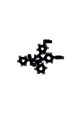 COc1ccc(C(=O)/C(=C\N(S(=O)(=O)c2ccccc2)S(=O)(=O)c2ccccc2)c2ccc(OC)cc2)cc1